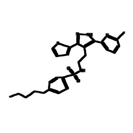 CCCCCc1ccc(S(=O)(=O)NCCc2c(-c3cccs3)n[nH]c2-c2cccc(C)n2)cc1